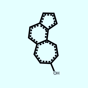 Oc1ccc2ccc3cccc3c2cc1